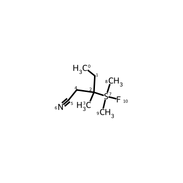 CCC(C)(CC#N)S(C)(C)F